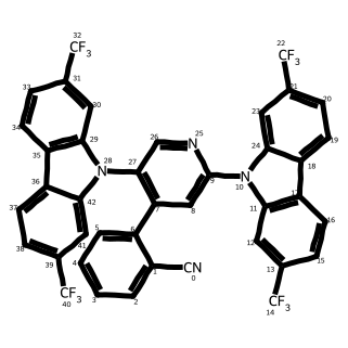 N#Cc1ccccc1-c1cc(-n2c3cc(C(F)(F)F)ccc3c3ccc(C(F)(F)F)cc32)ncc1-n1c2cc(C(F)(F)F)ccc2c2ccc(C(F)(F)F)cc21